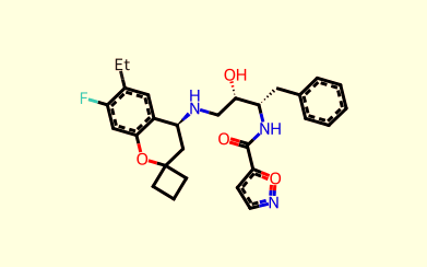 CCc1cc2c(cc1F)OC1(CCC1)C[C@@H]2NC[C@H](O)[C@H](Cc1ccccc1)NC(=O)c1ccno1